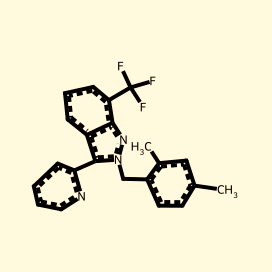 Cc1ccc(Cn2nc3c(C(F)(F)F)cccc3c2-c2ccccn2)c(C)c1